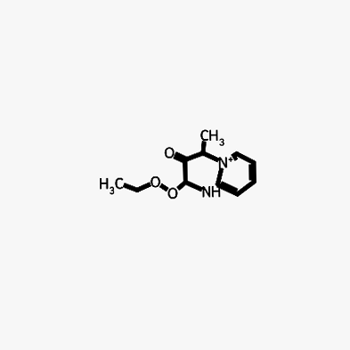 CCOOC1Nc2cccc[n+]2C(C)C1=O